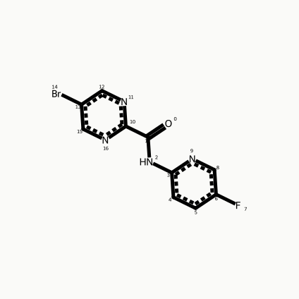 O=C(Nc1ccc(F)cn1)c1ncc(Br)cn1